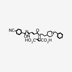 N#Cc1ccc(-c2nc(C=CC(=O)NCCC3CCN(Cc4ccccc4)CC3)no2)cc1.O=C(O)C=CC(=O)O